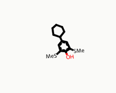 CSc1cc(C2CCCCC2)cc(SC)c1O